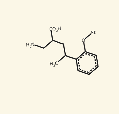 CCOc1ccccc1C(C)CC(CN)C(=O)O